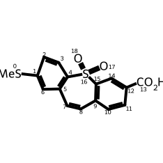 CSc1ccc2c(c1)C=Cc1ccc(C(=O)O)cc1S2(=O)=O